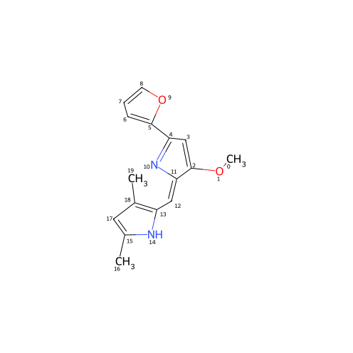 COC1=CC(c2ccco2)=N/C1=C\c1[nH]c(C)cc1C